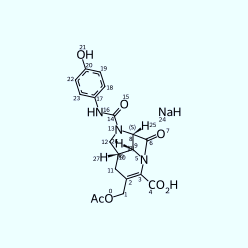 CC(=O)OCC1=C(C(=O)O)N2C(=O)[C@@H]3[C@H]2[C@H](C1)CN3C(=O)Nc1ccc(O)cc1.[NaH]